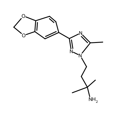 Cc1nc(-c2ccc3c(c2)OCO3)nn1CCC(C)(C)N